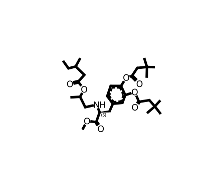 CCC(C)CC(=O)OC(C)CN[C@@H](Cc1ccc(OC(=O)CC(C)(C)C)c(OC(=O)CC(C)(C)C)c1)C(=O)OC